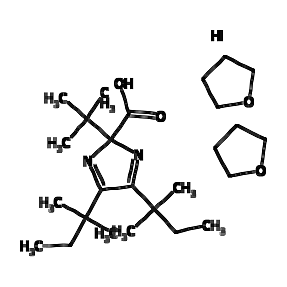 C1CCOC1.C1CCOC1.CCC(C)(C)C1=NC(C(=O)O)(C(C)(C)C)N=C1C(C)(C)CC.I